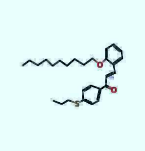 CCCCCCCCCCOc1ccccc1/C=C/C(=O)c1ccc(SCCC)cc1